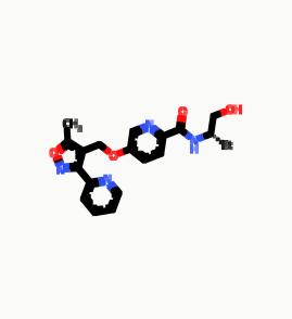 CC[C@@H](CO)NC(=O)c1ccc(OCc2c(-c3ccccn3)noc2C)cn1